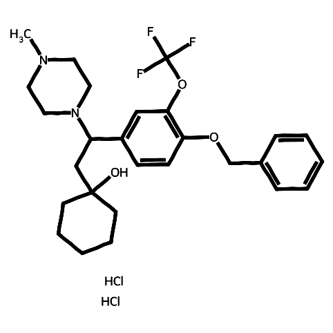 CN1CCN(C(CC2(O)CCCCC2)c2ccc(OCc3ccccc3)c(OC(F)(F)F)c2)CC1.Cl.Cl